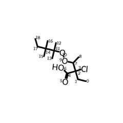 CCC(Cl)(C(=O)O)C(C)OOC(C)(C)C(C)(C)CC